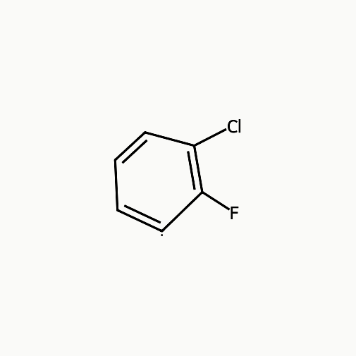 Fc1[c]cccc1Cl